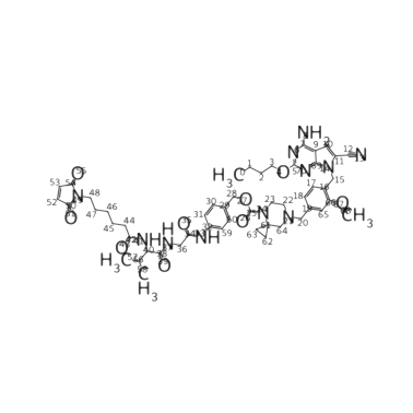 CCCCOc1nc(N)c2cc(C#N)n(Cc3ccc(CN4CCN(C(=O)OCc5ccc(NC(=O)CNC(=O)C(NC(=O)CCCCCN6C(=O)C=CC6=O)C(C)C)cc5)C5(CC5)C4)cc3OC)c2n1